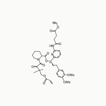 C=CC(=O)OCC(C)(C)C(=O)C(=O)N1CCCCC1C(=O)O[C@H](CCc1ccc(OC)c(OC)c1)c1cccc(NC(=O)CCC(=O)OC(C)(C)C)n1